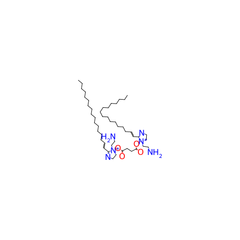 CCCCCCCCCCCCCCCC=CC1=NCC[N+]1(CCN)OC(=O)CCC(=O)O[N+]1(CCN)CCN=C1C=CCCCCCCCCCCCCCCC